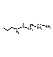 [SiH3]N[SiH2]N[SiH2]N[SiH2]CCCl